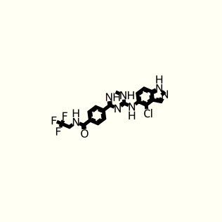 CN/C(=N\C(=N)c1ccc(C(=O)NCC(F)(F)F)cc1)Nc1ccc2[nH]ncc2c1Cl